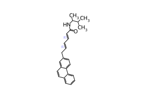 CC(C)C(C)NC(=O)/C=C/C=C/Cc1ccc2c(ccc3ccccc32)c1